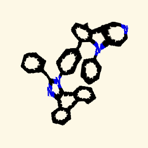 c1ccc(-c2nc3c4ccccc4c4ccccc4c3n2-c2ccc(-c3cccc4c5cnccc5n(-c5ccccc5)c34)cc2)cc1